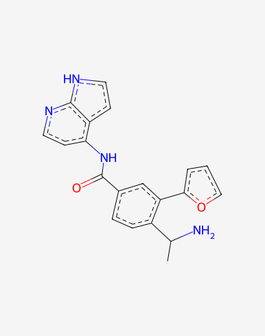 CC(N)c1ccc(C(=O)Nc2ccnc3[nH]ccc23)cc1-c1ccco1